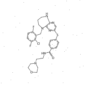 O=C(NCCN1CCOCC1)c1ccc(Sc2cnc3c(n2)N(Cc2c(F)ccc(F)c2Cl)CCCN3)cc1